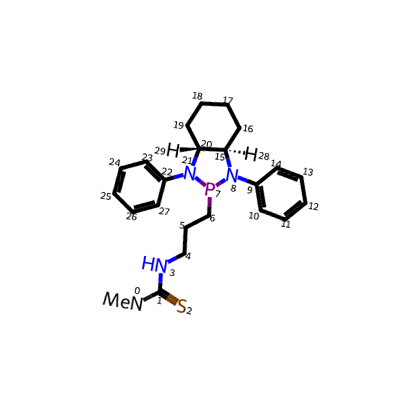 CNC(=S)NCCCP1N(c2ccccc2)[C@@H]2CCCC[C@H]2N1c1ccccc1